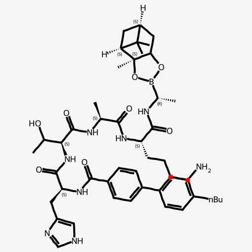 CCCCc1ccc(-c2ccc(C(=O)N[C@@H](Cc3c[nH]cn3)C(=O)N[C@H](C(=O)N[C@@H](C)C(=O)N[C@@H](CCCCN)C(=O)N[C@@H](C)B3OC4C[C@@H]5C[C@@H](C5(C)C)[C@]4(C)O3)C(C)O)cc2)cc1